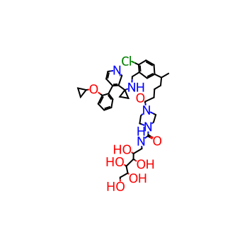 CC(CCCC(=O)N1CCN(C(=O)NCC(O)C(O)C(O)C(O)CO)CC1)c1ccc(Cl)c(CNC2(c3cnccc3-c3ccccc3OC3CC3)CC2)c1